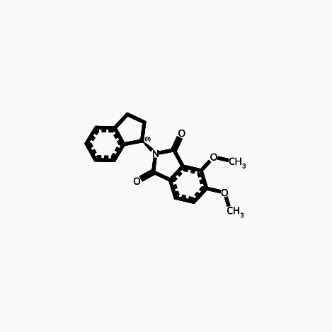 COc1ccc2c(c1OC)C(=O)N([C@@H]1CCc3ccccc31)C2=O